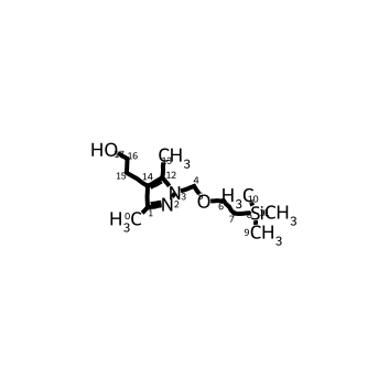 Cc1nn(COCC[Si](C)(C)C)c(C)c1CCO